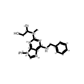 CCC(CO)N(C)c1nc(NCc2ccccc2)c2ncn(C(C)C)c2n1